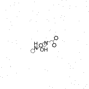 Oc1c(CNC2CCCCC2)ccc2c1CCN(CCCC(c1ccccc1)c1ccccc1)C2